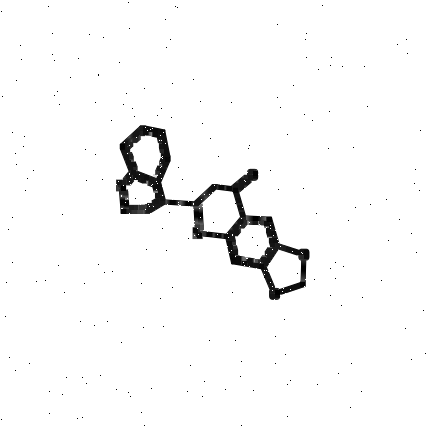 O=C1CC(c2ccnc3ccccc23)=Nc2cc3c(cc21)OCO3